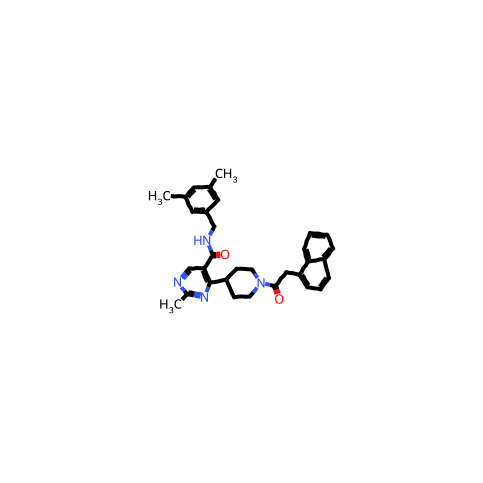 Cc1cc(C)cc(CNC(=O)c2cnc(C)nc2C2CCN(C(=O)Cc3cccc4ccccc34)CC2)c1